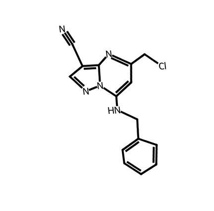 N#Cc1cnn2c(NCc3ccccc3)cc(CCl)nc12